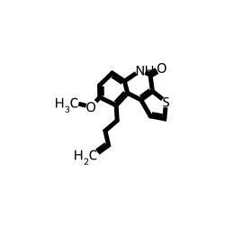 C=CCCc1c(OC)ccc2[nH]c(=O)c3sccc3c12